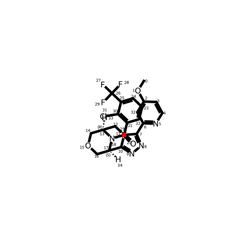 COc1ccnc(-c2nnc3n2C[C@@H]2COC[C@H]3N2C(=O)c2cccc(C(F)(F)F)c2Cl)c1